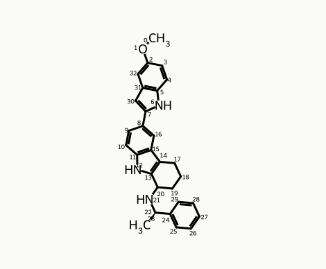 COc1ccc2[nH]c(-c3ccc4[nH]c5c(c4c3)CCCC5N[C@H](C)c3ccccc3)cc2c1